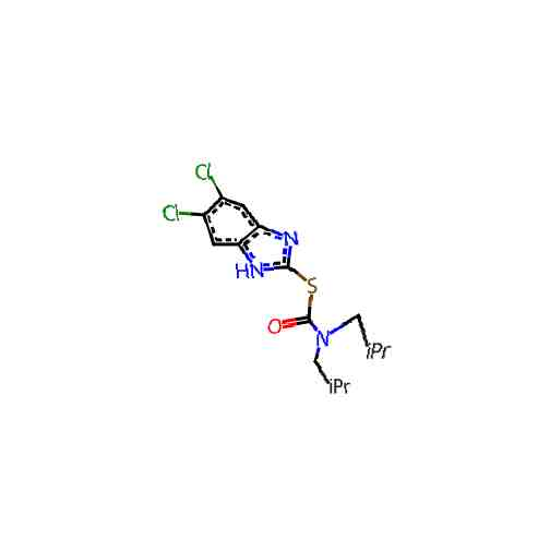 CC(C)CN(CC(C)C)C(=O)Sc1nc2cc(Cl)c(Cl)cc2[nH]1